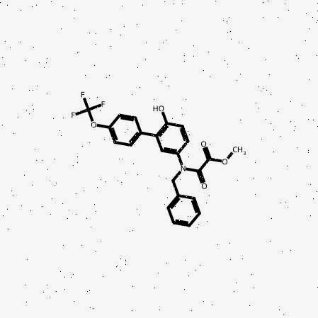 COC(=O)C(=O)N(Cc1ccccc1)c1ccc(O)c(-c2ccc(OC(F)(F)F)cc2)c1